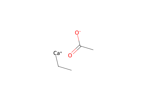 CC(=O)[O-].C[CH2][Ca+]